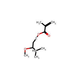 C=C(C)C(=O)OCCC(OC)[SiH](C)C